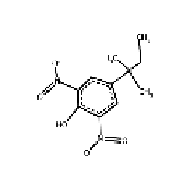 CCC(C)(C)c1cc([N+](=O)[O-])c(O)c([N+](=O)[O-])c1